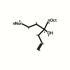 C=CCC(O)(CCCCCCCC)CCCCCCCCCCC